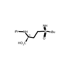 CCCCS(=N)(=O)CC[C@H](NC(C)C)C(=O)O